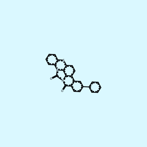 O=c1c2ccc(-c3ccccc3)cc2c2ccc3sc4ccccc4n4c(=O)n1c2c34